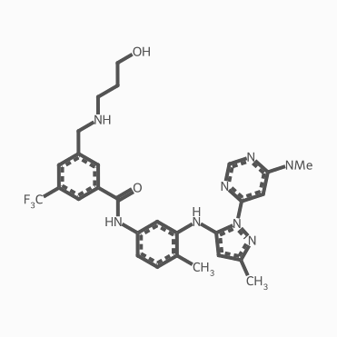 CNc1cc(-n2nc(C)cc2Nc2cc(NC(=O)c3cc(CNCCCO)cc(C(F)(F)F)c3)ccc2C)ncn1